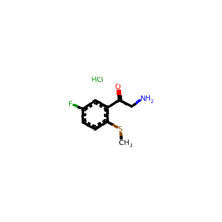 CSc1ccc(F)cc1C(=O)CN.Cl